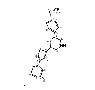 Fc1cccc(C2=NCC(C3CNCC(c4ccc(OC(F)(F)F)cc4)C3)=N2)c1